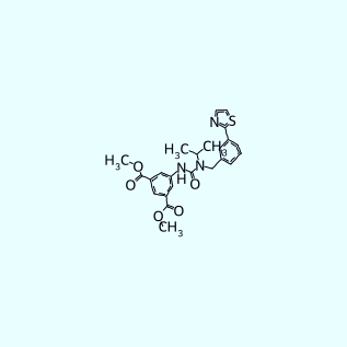 COC(=O)c1cc(NC(=O)N(Cc2cccc(-c3nccs3)c2)C(C)C)cc(C(=O)OC)c1